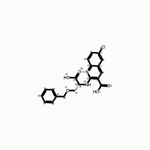 O=C(O)c1cc2cc(Cl)ccc2nc1N[C@H](COCc1ccccc1)C(=O)O